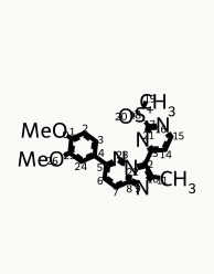 COc1ccc(-c2ccc3nc(C)c(-c4ccnc([S+](C)[O-])n4)n3n2)cc1OC